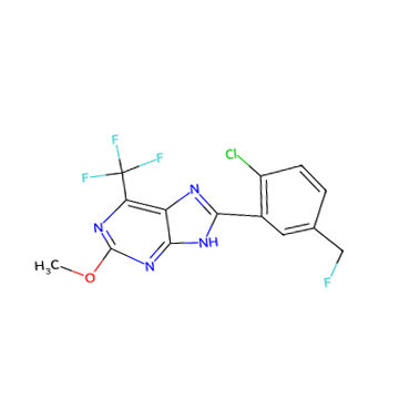 COc1nc(C(F)(F)F)c2nc(-c3cc(CF)ccc3Cl)[nH]c2n1